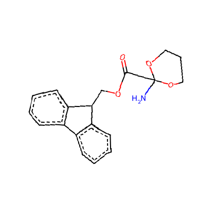 NC1(C(=O)OCC2c3ccccc3-c3ccccc32)OCCCO1